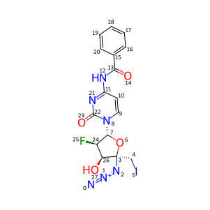 [N-]=[N+]=N[C@]1(CI)O[C@@H](n2ccc(NC(=O)c3ccccc3)nc2=O)[C@H](F)[C@@H]1O